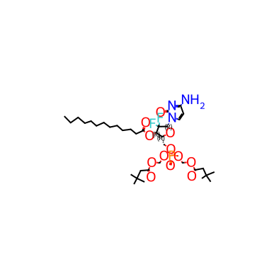 CCCCCCCCCCCCC(=O)O[C@@H]1[C@@H](COP(=O)(OCOC(=O)CC(C)(C)C)OCOC(=O)CC(C)(C)C)O[C@@H](n2ccc(N)nc2=O)C1(F)F